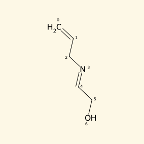 C=CCN=CCO